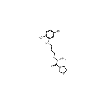 N#Cc1ccc(Br)cc1NCCCC[C@H](N)C(=O)N1CCSC1